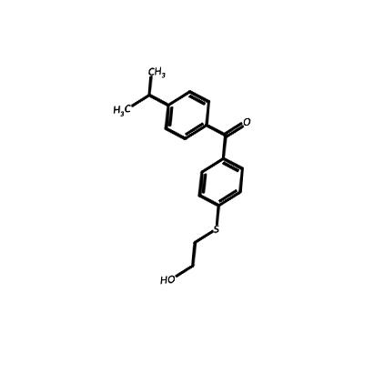 CC(C)c1ccc(C(=O)c2ccc(SCCO)cc2)cc1